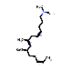 C/C=C\CCC(/C=C(\C)C/C=C\CCCN(C)C)OCC(C)C